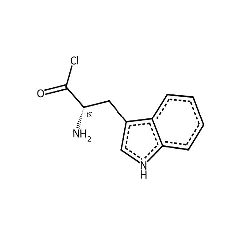 N[C@@H](Cc1c[nH]c2ccccc12)C(=O)Cl